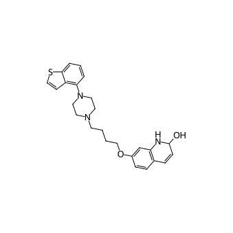 OC1C=Cc2ccc(OCCCCN3CCN(c4cccc5sccc45)CC3)cc2N1